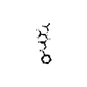 CC(C)C[C@H](NC(=O)CNc1ccccc1)C(=O)O